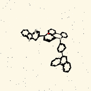 c1ccc(-c2ccccc2N(c2ccc(-c3cnc4c(c3)sc3ccccc34)cc2)c2ccc(-c3cc4ccccc4c4ccccc34)cc2)cc1